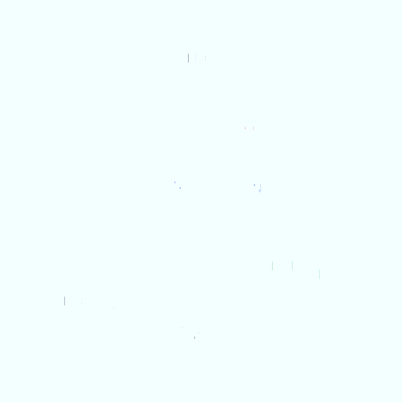 CCCOc1cccc2ccc(Cc3cncc4cc(OC)c(OC)cc34)nc12.Cl.Cl